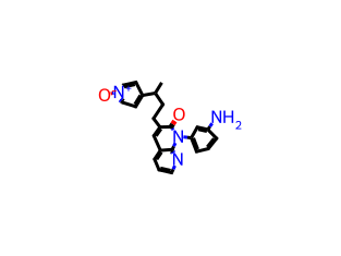 CC(CCc1cc2cccnc2n(-c2cccc(N)c2)c1=O)c1cc[n+]([O-])cc1